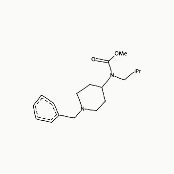 COC(=O)N(CC(C)C)C1CCN(Cc2ccccc2)CC1